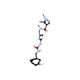 Cc1c(C(=O)N(C)Cc2csc(NC(=O)NCc3cccc(F)c3)n2)cnn1C